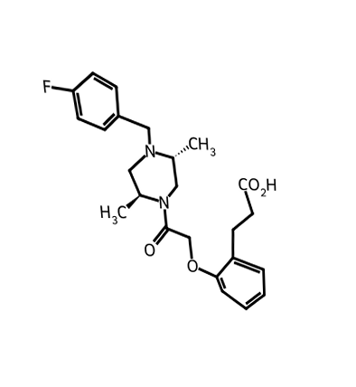 C[C@@H]1CN(C(=O)COc2ccccc2CCC(=O)O)[C@@H](C)CN1Cc1ccc(F)cc1